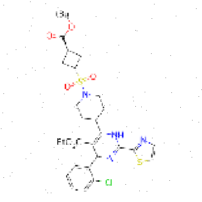 CCOC(=O)C1=C(C2CCN(S(=O)(=O)[C@H]3C[C@H](C(=O)OC(C)(C)C)C3)CC2)NC(c2nccs2)=NC1c1ccccc1Cl